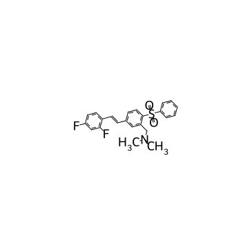 CN(C)Cc1cc(/C=C/c2ccc(F)cc2F)ccc1S(=O)(=O)c1ccccc1